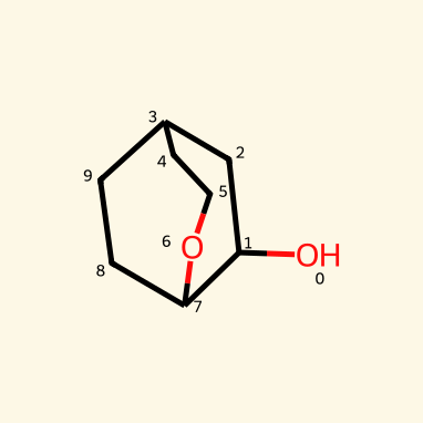 OC1CC2CCOC1CC2